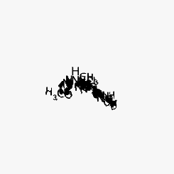 CN1CCn2nc(Nc3nc4ncc(Oc5ccnc(NC(=O)OC6COC6)c5)c(Cl)c4n3C)cc2C1=O